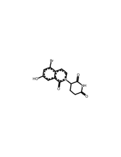 O=C1CCC(n2ccc3c(Br)cc(O)cc3c2=O)C(=O)N1